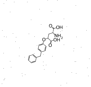 NC(CC(Oc1ccc(Cc2ccccc2)cc1)C(=O)O)C(=O)O